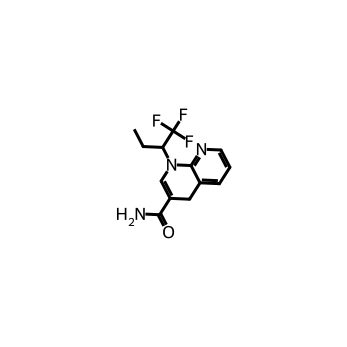 CCC(N1C=C(C(N)=O)Cc2cccnc21)C(F)(F)F